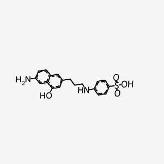 Nc1ccc2cc(CCCNc3ccc(S(=O)(=O)O)cc3)cc(O)c2c1